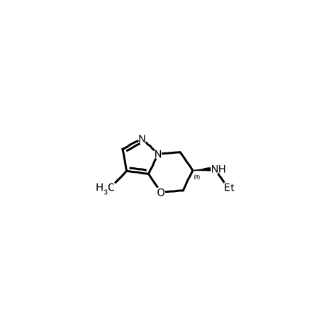 CCN[C@H]1COc2c(C)cnn2C1